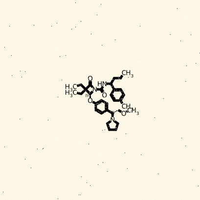 CCCC(NC(=O)N1C(=O)C(CC)(CC)[C@@H]1Oc1ccc([C@H](COC)N2CCCC2)cc1)c1ccc(C)cc1